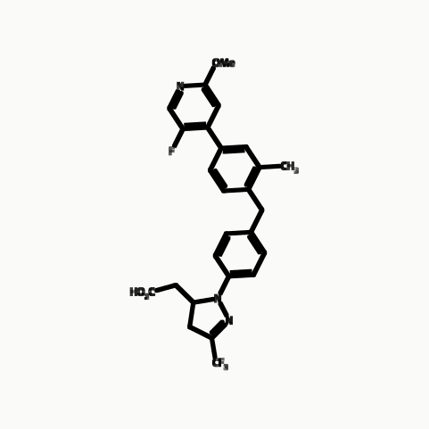 COc1cc(-c2ccc(Cc3ccc(N4N=C(C(F)(F)F)CC4CC(=O)O)cc3)c(C)c2)c(F)cn1